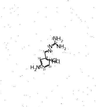 Cl.Cl.NC(N)=NN=Cc1cccc(N)c1